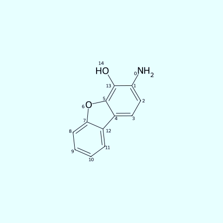 Nc1ccc2c(oc3ccccc32)c1O